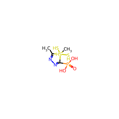 CC1=NN=C(P(=O)(O)O)[SH]1(C)(S)S